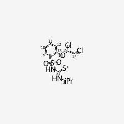 CC(C)NC(=S)NS(=O)(=O)c1ccccc1OC(Cl)=CCl